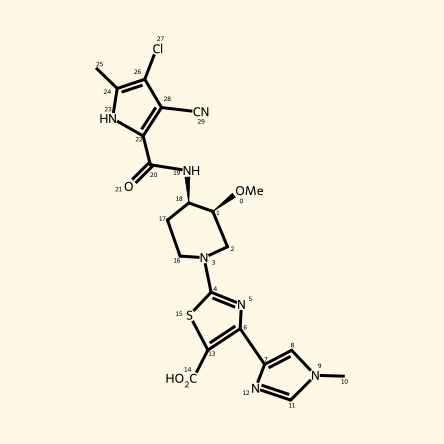 CO[C@H]1CN(c2nc(-c3cn(C)cn3)c(C(=O)O)s2)CC[C@H]1NC(=O)c1[nH]c(C)c(Cl)c1C#N